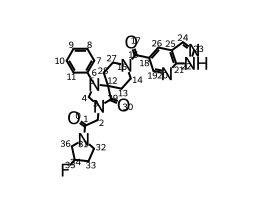 O=C(CN1CN(c2ccccc2)C2(CCN(C(=O)c3cnc4[nH]ncc4c3)CC2)C1=O)N1CCC(F)C1